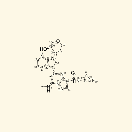 CNc1cc(-c2cn([C@H]3CCOC[C@@H]3O)c3ncccc23)nc2c(C(=O)N[C@@H]3C[C@@H]3F)cnn12